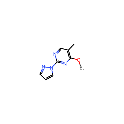 CCOc1nc(-n2cccn2)ncc1C